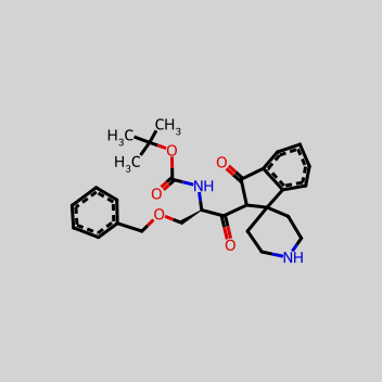 CC(C)(C)OC(=O)N[C@H](COCc1ccccc1)C(=O)C1C(=O)c2ccccc2C12CCNCC2